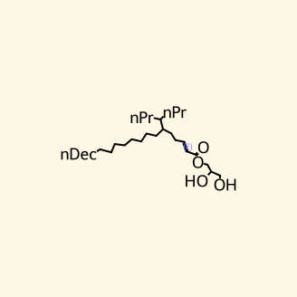 CCCCCCCCCCCCCCCCCCC(CC/C=C/C(=O)OCC(O)CO)C(CCC)CCC